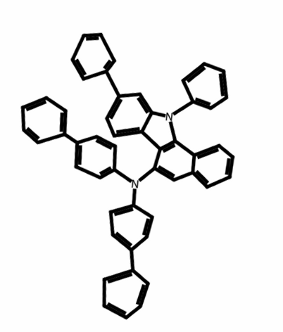 c1ccc(-c2ccc(N(c3ccc(-c4ccccc4)cc3)c3cc4ccccc4c4c3c3ccc(-c5ccccc5)cc3n4-c3ccccc3)cc2)cc1